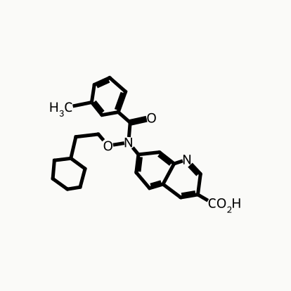 Cc1cccc(C(=O)N(OCCC2CCCCC2)c2ccc3cc(C(=O)O)cnc3c2)c1